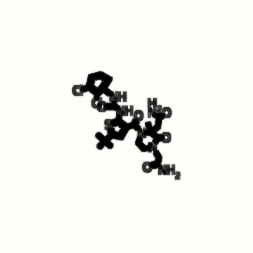 CC(C)(C)c1cc(C(=O)N2CCN(CC(N)=O)C(=O)C2(C)CC(N)=O)c(NC(=O)Nc2cccc(Cl)c2Cl)s1